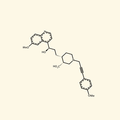 COc1ccc(C#CCN2CC[C@@H](CC[C@@H](O)c3ccnc4ccc(OC)cc34)[C@@H](C(=O)O)C2)cc1